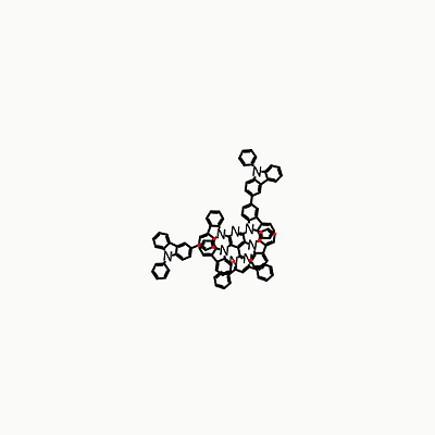 c1ccc(-c2cc(-c3ccccc3)nc(-c3c(-n4c5ccccc5c5ccccc54)c(-n4c5ccccc5c5cc(-c6ccc7c(c6)c6ccccc6n7-c6ccccc6)ccc54)nc(-n4c5ccccc5c5cc(-c6ccc7c(c6)c6ccccc6n7-c6ccccc6)ccc54)c3-n3c4ccccc4c4ccccc43)n2)cc1